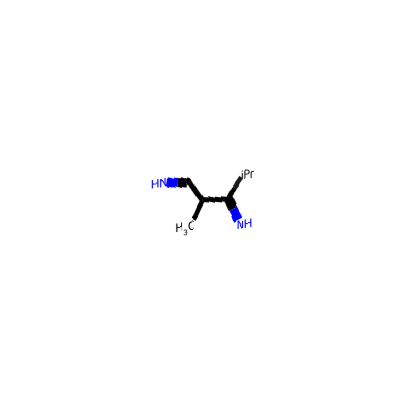 CC(C)C(=N)C(C)C=N